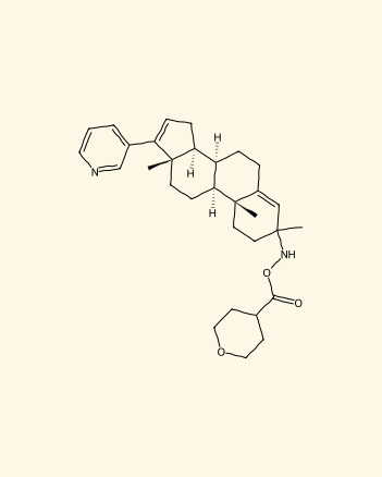 CC1(NOC(=O)C2CCOCC2)C=C2CC[C@H]3[C@H](CC[C@]4(C)C(c5cccnc5)=CC[C@@H]34)[C@@]2(C)CC1